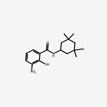 CCC1(C)CC(NC(=O)c2cccc([N+](=O)[O-])c2O)CC(C)(C)C1